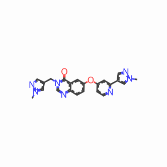 Cn1cc(Cn2cnc3ccc(Oc4ccnc(-c5cnn(C)c5)c4)cc3c2=O)cn1